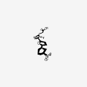 O=C(O)CSc1nnc(-c2ccc(-c3cccc([N+](=O)[O-])c3)o2)[nH]1